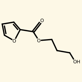 O=C(OCCCO)c1ccco1